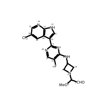 COC(C=O)N1CC(Nc2nc(-c3c[nH]c4ncc(Cl)cc34)ncc2F)C1